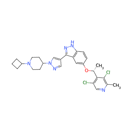 Cc1ncc(Cl)c([C@@H](C)Oc2ccc3[nH]nc(-c4cnn(C5CCN(C6CCC6)CC5)c4)c3c2)c1Cl